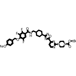 COc1ccc(COc2c(F)cc(C(=O)NCC3CCC(c4noc(-c5ccnc(N6CCN(C(=O)OC(C)(C)C)CC6)n5)n4)CC3)c(F)c2F)cc1